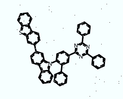 c1ccc(-c2nc(-c3ccccc3)nc(-c3ccc(-n4c5ccccc5c5ccc(-c6ccc7c(c6)sc6ccccc67)cc54)c(-c4ccccc4)c3)n2)cc1